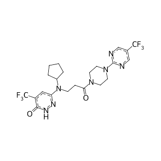 O=C(CCN(c1cc(C(F)(F)F)c(=O)[nH]n1)C1CCCC1)N1CCN(c2ncc(C(F)(F)F)cn2)CC1